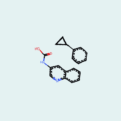 O=C(O)Nc1cnc2ccccc2c1.c1ccc(C2CC2)cc1